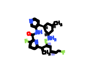 C=C(/C(F)=C\C=C/CF)c1ccc(F)c(C(=O)Nc2cnccc2[C@H]2C[C@@H](C)C[C@@H](N)C2)n1